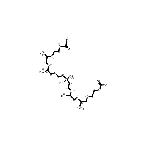 CCC(=O)OCCOCC(C)OCC(C)OCC[N+](C)(C)CCOCC(C)OCC(C)OCCOC(=O)CC